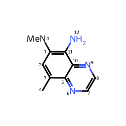 CNc1cc(C)c2nccnc2c1N